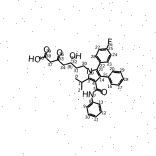 CC(C)c1c(C(=O)Nc2ccccc2)c(-c2ccccc2)c(-c2ccc(F)cc2)n1CC[C@@H](O)CC(=O)CC(=O)O